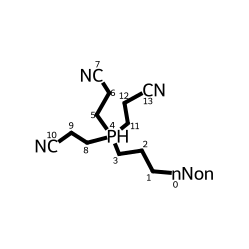 CCCCCCCCCCCC[PH](CCC#N)(CCC#N)CCC#N